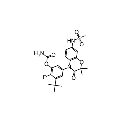 CC1(C)Oc2cc(NS(C)(=O)=O)ccc2N(c2cc(OC(N)=O)c(F)c(C(C)(C)C)c2)C1=O